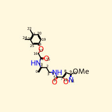 C=C(CCNC(=O)c1cc(OC)no1)NC(=O)COc1ccc(C)c(C)c1